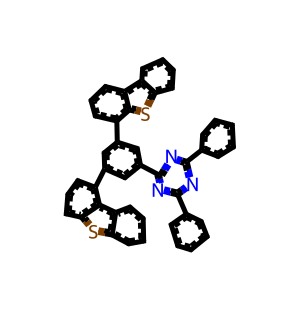 c1ccc(-c2nc(-c3ccccc3)nc(-c3cc(-c4cccc5c4sc4ccccc45)cc(-c4cccc5sc6ccccc6c45)c3)n2)cc1